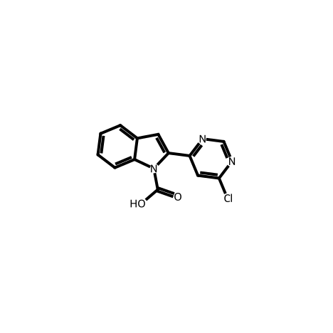 O=C(O)n1c(-c2cc(Cl)ncn2)cc2ccccc21